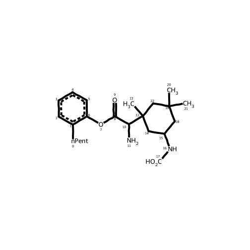 CCCCCc1ccccc1OC(=O)C(N)C1(C)CC(NC(=O)O)CC(C)(C)C1